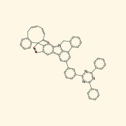 C=C1/C=C\C=C/Cc2ccccc2C12c1ccccc1-c1cc3c4cc(-c5cccc(-c6nc(-c7ccccc7)nc(-c7ccccc7)n6)c5)cc5c4n(c3cc12)Cc1ccccc1-5